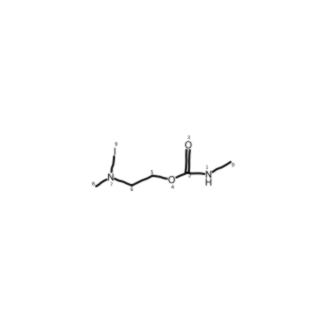 CNC(=O)OCCN(C)I